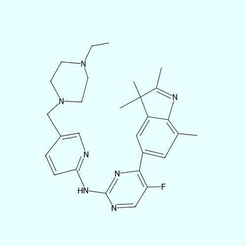 CCN1CCN(Cc2ccc(Nc3ncc(F)c(-c4cc(C)c5c(c4)C(C)(C)C(C)=N5)n3)nc2)CC1